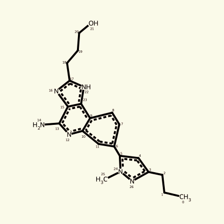 CCCc1cc(-c2ccc3c(c2)nc(N)c2nc(CCCO)[nH]c23)n(C)n1